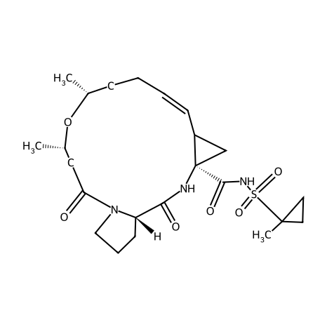 C[C@@H]1CC/C=C\C2C[C@@]2(C(=O)NS(=O)(=O)C2(C)CC2)NC(=O)[C@@H]2CCCN2C(=O)C[C@H](C)O1